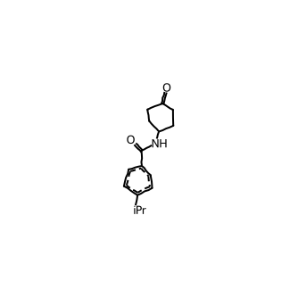 CC(C)c1ccc(C(=O)NC2CCC(=O)CC2)cc1